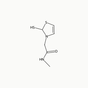 CNC(=O)CN1C=CSC1S